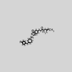 C/C=C(\C)CCC(=O)CCC1CCC2(CC1)C[C@H](CCN1CCC=C(Cc3ccc(F)cc3)CC1)OC2=O